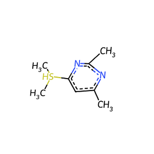 Cc1cc([SH](C)C)nc(C)n1